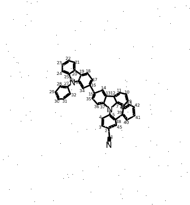 N#Cc1ccc(-n2c3ccccc3c3cc(-c4ccc5c6ccccc6n(-c6ccccc6)c5c4)ccc32)c(-c2ccccc2)c1